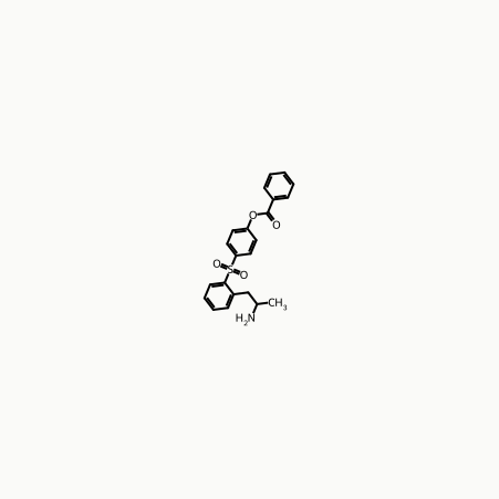 CC(N)Cc1ccccc1S(=O)(=O)c1ccc(OC(=O)c2ccccc2)cc1